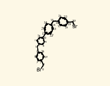 BrCc1ccc(Cc2ccc(-c3ccc(Cc4ccc(CBr)cc4)cc3)cc2)cc1